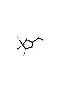 CCC1C[C@@](C)(F)[C@@H](C)O1